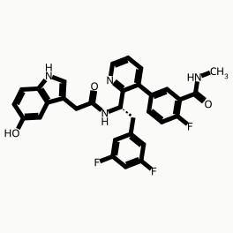 CNC(=O)c1cc(-c2cccnc2[C@H](Cc2cc(F)cc(F)c2)NC(=O)Cc2c[nH]c3ccc(O)cc23)ccc1F